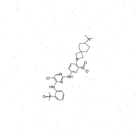 CN(C)C1CCC2(CC1)CN(c1ccc(Nc3ncc(Cl)c(Nc4ccccc4P(C)(C)=O)n3)cc1[N+](=O)[O-])C2